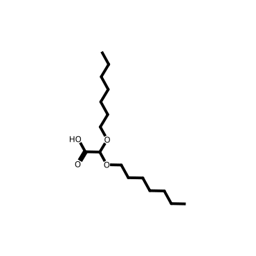 CCCCCCCOC(OCCCCCCC)C(=O)O